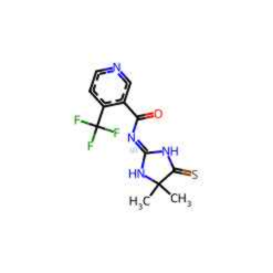 CC1(C)N/C(=N/C(=O)c2cnccc2C(F)(F)F)NC1=S